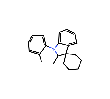 Cc1ccccc1N1c2ccccc2C2(CCCCC2)C1C